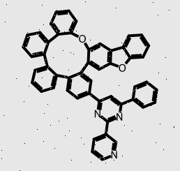 c1ccc(-c2cc(-c3ccc4c(c3)-c3cc5oc6ccccc6c5cc3Oc3ccccc3-c3ccccc3-c3ccccc3-4)nc(-c3cccnc3)n2)cc1